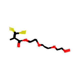 CC(C(=O)OCCOCCOCCO)=C(S)S